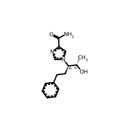 C[C@H](O)[C@@H](CCc1ccccc1)n1cnc(C(N)=O)c1